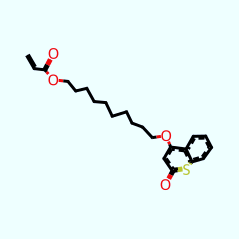 C=CC(=O)OCCCCCCCCCCOc1cc(=O)sc2ccccc12